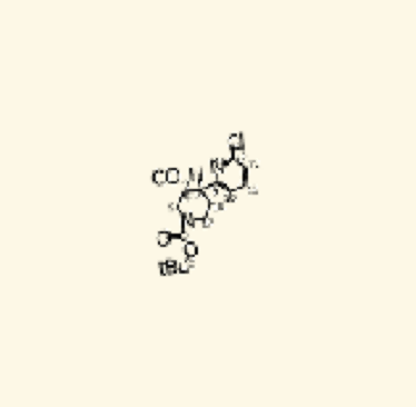 CC(C)(C)OC(=O)N1CCC(C(=O)O)(c2cccc(Cl)n2)CC1